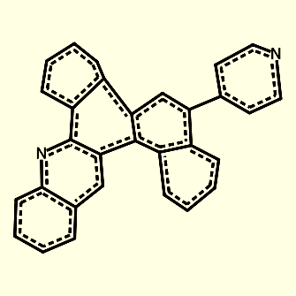 c1ccc2nc3c4ccccc4c4cc(-c5ccncc5)c5ccccc5c4c3cc2c1